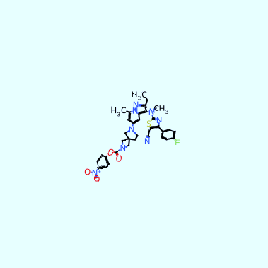 CCc1nn2c(C)cc(N3CCC4(CN(C(=O)Oc5ccc([N+](=O)[O-])cc5)C4)C3)cc2c1N(C)c1nc(-c2ccc(F)cc2)c(C#N)s1